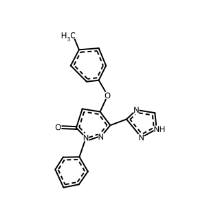 Cc1ccc(Oc2cc(=O)n(-c3ccccc3)nc2-c2nc[nH]n2)cc1